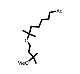 COC(C)(C)CCOC(C)(C)CCCCCC(C)=O